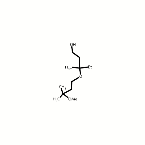 CCC(C)(CCO)OCCC(C)(C)OC